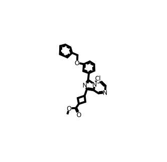 COC(=O)C1CC(C2=C3C=NC=C[N+]3(Cl)C(c3cccc(OCc4ccccc4)c3)=N2)C1